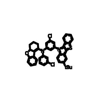 CC(C)(C)c1ccc2c(c1)c1sc3ccccc3c1n2-c1cc(Cl)cc(N(C2=C3c4ccccc4OC3CCC2)c2cccc(Cl)c2)c1